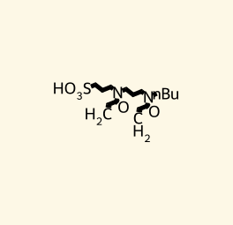 C=CC(=O)N(CCCC)CCCN(CCCS(=O)(=O)O)C(=O)C=C